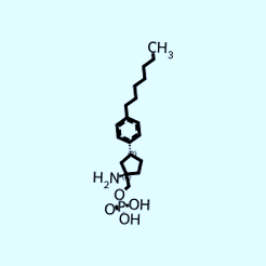 CCCCCCCc1ccc([C@@H]2CC[C@](N)(COP(=O)(O)O)C2)cc1